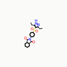 CCc1n[nH]c(CC)c1S(=O)(=O)c1ccc(N2C(=O)c3ccccc3C2=O)cc1